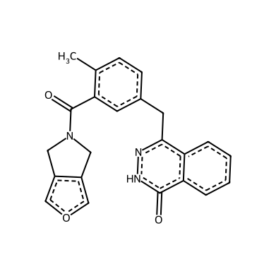 Cc1ccc(Cc2n[nH]c(=O)c3ccccc23)cc1C(=O)N1Cc2cocc2C1